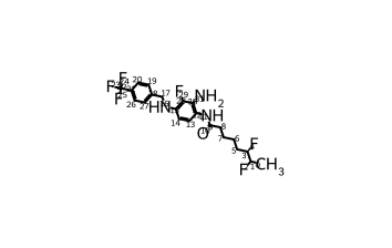 CC(F)[C@H](F)CCCCC(=O)Nc1ccc(NCc2ccc(C(F)(F)F)cc2)c(F)c1N